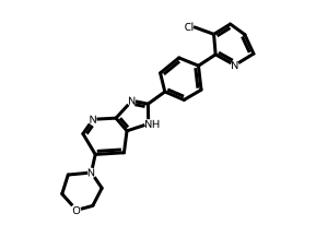 Clc1cccnc1-c1ccc(-c2nc3ncc(N4CCOCC4)cc3[nH]2)cc1